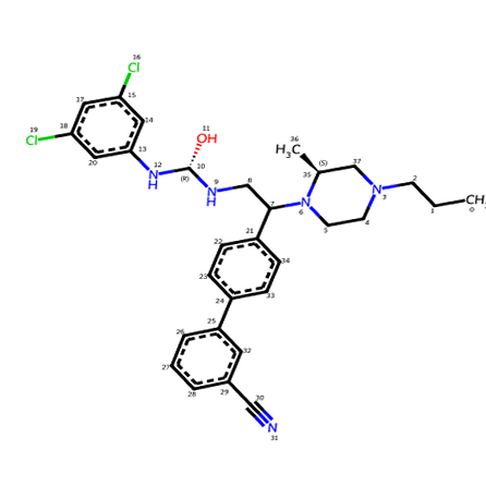 CCCN1CCN(C(CN[C@@H](O)Nc2cc(Cl)cc(Cl)c2)c2ccc(-c3cccc(C#N)c3)cc2)[C@@H](C)C1